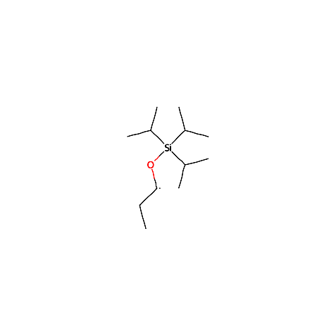 CC[CH]O[Si](C(C)C)(C(C)C)C(C)C